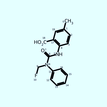 Cc1ccc(NC(=O)N(CF)c2ccccc2)c(C(=O)O)c1